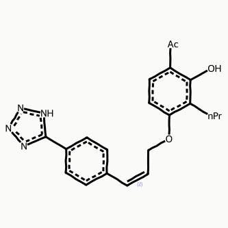 CCCc1c(OC/C=C\c2ccc(-c3nnn[nH]3)cc2)ccc(C(C)=O)c1O